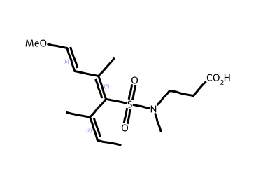 C\C=C(C)/C(=C(C)\C=C\OC)S(=O)(=O)N(C)CCC(=O)O